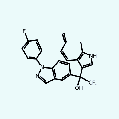 C=C/C=C\c1c(C(O)(c2ccc3c(cnn3-c3ccc(F)cc3)c2)C(F)(F)F)c[nH]c1C